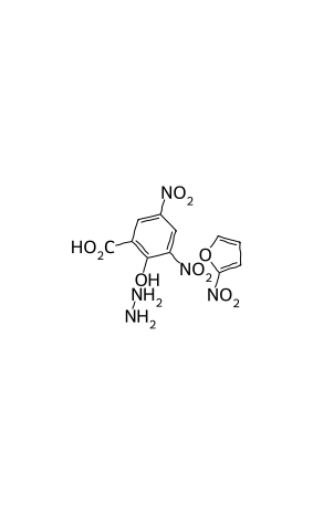 NN.O=C(O)c1cc([N+](=O)[O-])cc([N+](=O)[O-])c1O.O=[N+]([O-])c1ccco1